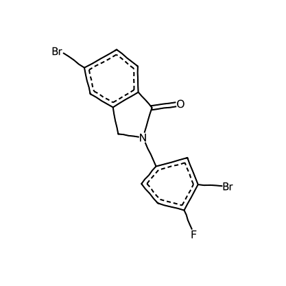 O=C1c2ccc(Br)cc2CN1c1ccc(F)c(Br)c1